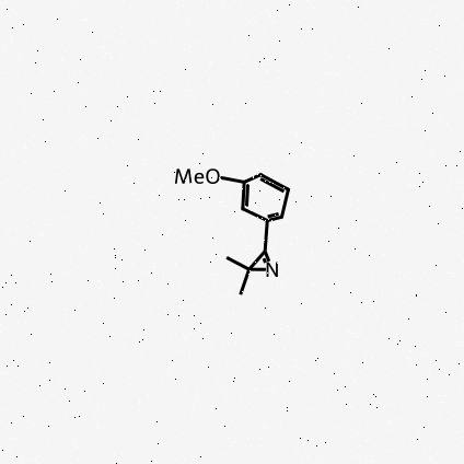 COc1cccc(C2=NC2(C)C)c1